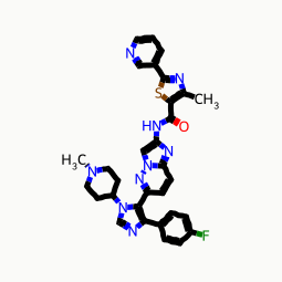 Cc1nc(-c2cccnc2)sc1C(=O)Nc1cn2nc(-c3c(-c4ccc(F)cc4)ncn3C3CCN(C)CC3)ccc2n1